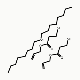 C=CCOC(=O)CCS.C=CCOC(=O)CCS.CCCCCCC[CH2][Sn][CH2]CCCCCCC